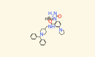 CCCCN(C(N)=O)c1ccc(N2CCCC2)cc1C(=O)NCC1CCN(C(c2ccccc2)c2ccccc2)CC1